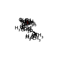 COC(=O)c1nc(N(CC(CO[Si](C)(C)C(C)(C)C)N2CCOCC2)C(=O)OC(C)(C)C)sc1CCCOc1ccc(C#CCN(C)C(=O)OC(C)(C)C)cc1F